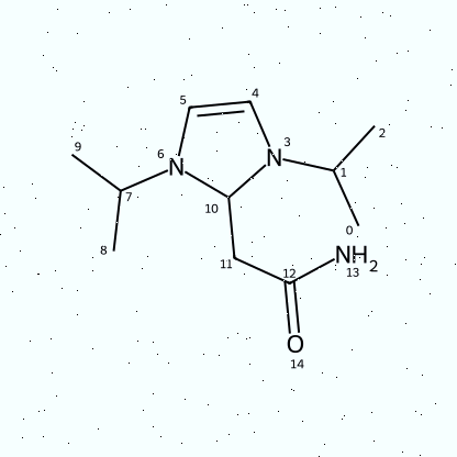 CC(C)N1C=CN(C(C)C)C1CC(N)=O